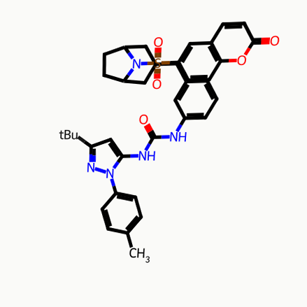 Cc1ccc(-n2nc(C(C)(C)C)cc2NC(=O)Nc2cccc(CC3CC4CCC(C3)N4S(=O)(=O)c3ccc4oc(=O)ccc4c3)c2)cc1